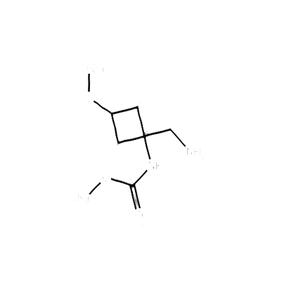 CCCCOC1CC(CN)(NC(=O)OC(C)(C)C)C1